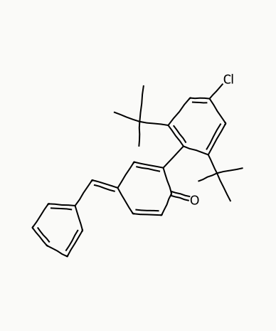 CC(C)(C)c1cc(Cl)cc(C(C)(C)C)c1C1=CC(=Cc2ccccc2)C=CC1=O